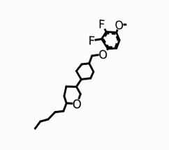 CCCCCC1CCC(C2CCC(COc3ccc(OC)c(F)c3F)CC2)CO1